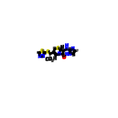 O=C(O)C1=C(CSc2nncs2)CS[C@@H]2C(Nc3ncc[nH]3)C(=O)N12